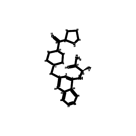 CC(C)[C@H](Nc1nc(CN2CCN(C(=O)C3CCCO3)CC2)nc2ccccc12)C(N)=O